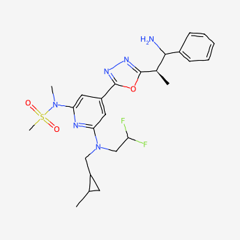 CC1CC1CN(CC(F)F)c1cc(-c2nnc([C@H](C)C(N)c3ccccc3)o2)cc(N(C)S(C)(=O)=O)n1